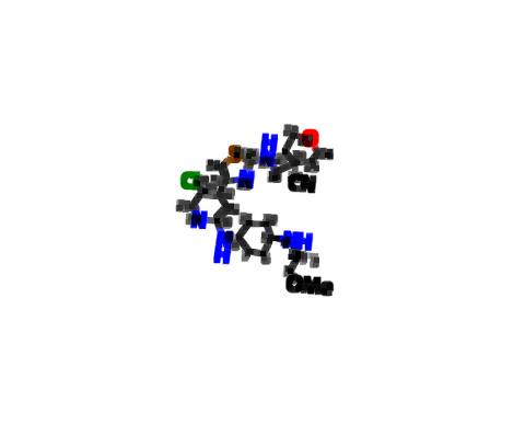 COC[C@@H](C)N[C@H]1CC[C@H](Nc2cc(-c3csc(NCC4(C#N)CCOCC4)n3)c(Cl)cn2)CC1